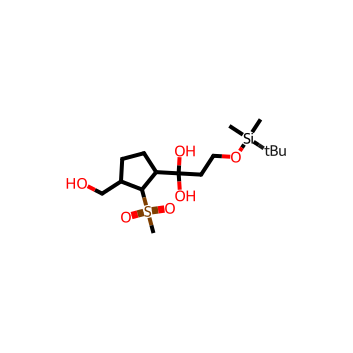 CC(C)(C)[Si](C)(C)OCCC(O)(O)C1CCC(CO)C1S(C)(=O)=O